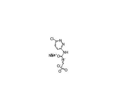 O=C(C[SH-]S(=O)(=O)[O-])Nc1ccc(Cl)nn1.[Na+].[Na+]